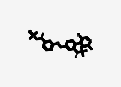 Cc1cc(-c2ccc(COc3cc([C@H](C)CP(C)(C)=O)ccn3)cc2[C@@H](C)C(C)(C)C)c(F)cn1